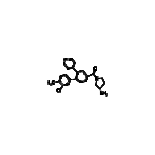 Cc1ccc(-c2ccc(C(=O)N3CC[C@H](N)C3)cc2-c2ccccc2)cc1Cl